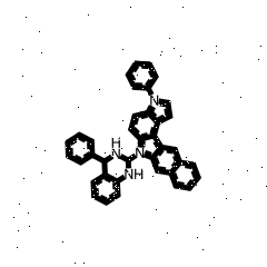 c1ccc(C2NC(n3c4cc5ccccc5cc4c4c5ccn(-c6ccccc6)c5ccc43)Nc3ccccc32)cc1